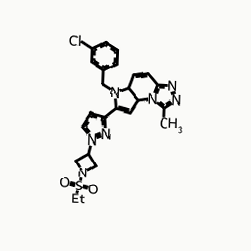 CCS(=O)(=O)N1CC(n2ccc(C3=CC4C(C=Cc5nnc(C)n54)N3Cc3cccc(Cl)c3)n2)C1